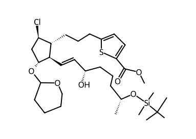 COC(=O)c1ccc(CCC[C@@H]2[C@@H](C=C[C@@H](O)CCC[C@@H](C)O[Si](C)(C)C(C)(C)C)[C@H](OC3CCCCO3)C[C@H]2Cl)s1